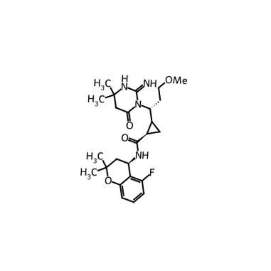 COCC[C@H](C1C[C@H]1C(=O)N[C@@H]1CC(C)(C)Oc2cccc(F)c21)N1C(=N)NC(C)(C)CC1=O